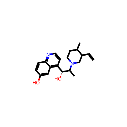 C=CC1CN(C(C)[C@H](O)c2ccnc3ccc(O)cc23)CCC1C